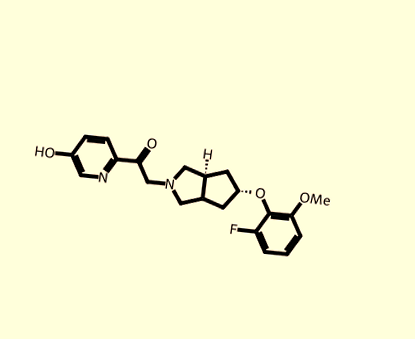 COc1cccc(F)c1O[C@@H]1CC2CN(CC(=O)c3ccc(O)cn3)C[C@H]2C1